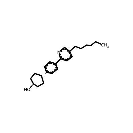 CCCCCCc1ccc(-c2ccc([C@H]3CC[C@H](O)CC3)cc2)nc1